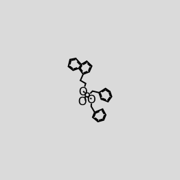 O=P(Cc1ccccc1)(OCCc1cccc2ccccc12)OCc1ccccc1